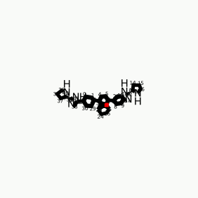 c1cc(-c2ccc(-c3ccc4nc([C@@H]5CCCN5)[nH]c4c3)c3c2C2CCC3CC2)ccc1-c1cnc([C@@H]2CCCN2)[nH]1